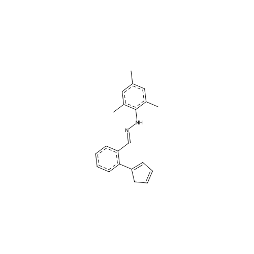 Cc1cc(C)c(NN=Cc2ccccc2C2=CC=CC2)c(C)c1